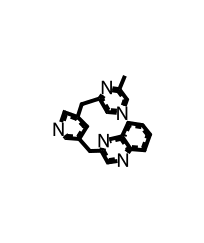 Cc1cncc(Cc2cncc(Cc3cnc4ccccc4n3)c2)n1